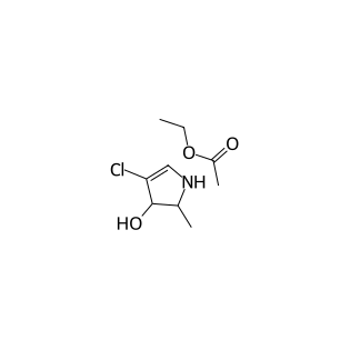 CC1NC=C(Cl)C1O.CCOC(C)=O